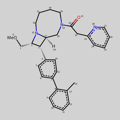 COC[C@H]1[C@@H](c2ccc(-c3ccccc3C)cc2)[C@@H]2CN(C(=O)Cc3ccccn3)CCCCN12